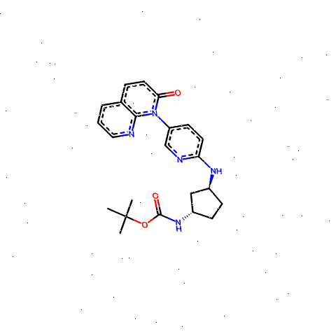 CC(C)(C)OC(=O)N[C@H]1CC[C@H](Nc2ccc(-n3c(=O)ccc4cccnc43)cn2)C1